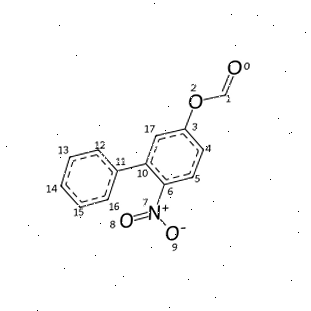 O=COc1ccc([N+](=O)[O-])c(-c2ccccc2)c1